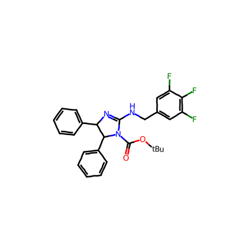 CC(C)(C)OC(=O)N1C(NCc2cc(F)c(F)c(F)c2)=NC(c2ccccc2)C1c1ccccc1